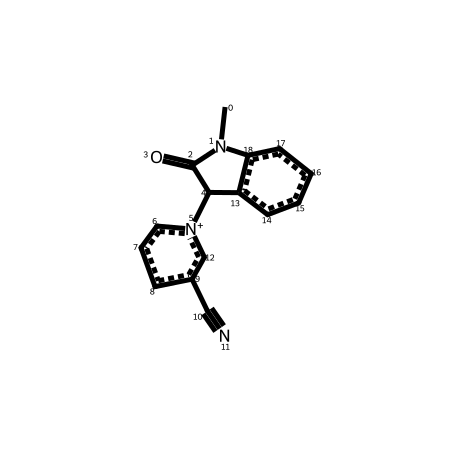 CN1C(=O)C([n+]2cccc(C#N)c2)c2ccccc21